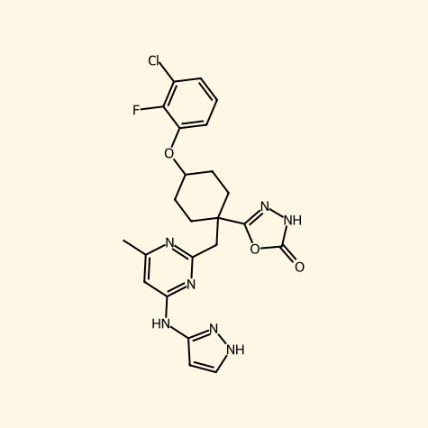 Cc1cc(Nc2cc[nH]n2)nc(CC2(c3n[nH]c(=O)o3)CCC(Oc3cccc(Cl)c3F)CC2)n1